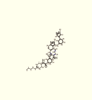 CCCCCN1CCC(NC(=O)c2ccc(NC3=C/C=C/C4=C(/C=N\3)CCc3nn(C)c(Cc5cccc(-c6cnn(C)c6)c5)c34)c(OC)c2)CC1